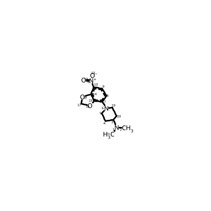 CN(C)C1CCN(c2ccc([N+](=O)[O-])c3c2OCO3)CC1